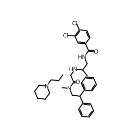 CC(CNC(=O)c1ccc(Cl)c(Cl)c1)N[C@@H](CCCN1CCCCC1)C(=O)N(C)CC(c1ccccc1)c1ccccc1